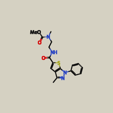 COC(=O)N(C)CCNC(=O)c1cc2c(C)nn(-c3ccccc3)c2s1